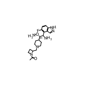 CC(=O)N1CCC1CN1CCC([C@@H](ON)C(N)c2c(F)ccc3[nH]ncc23)CC1